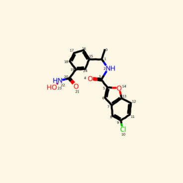 CC(NC(=O)c1cc2cc(Cl)ccc2o1)c1cccc(C(=O)NO)c1